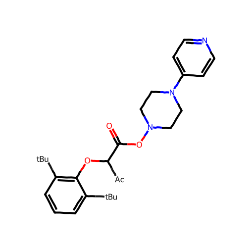 CC(=O)C(Oc1c(C(C)(C)C)cccc1C(C)(C)C)C(=O)ON1CCN(c2ccncc2)CC1